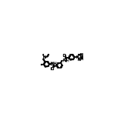 CCN(C)Cc1cc(NC(=O)c2cccc(CNC(=O)c3ccc(-n4cnnn4)cc3)c2)ccc1C